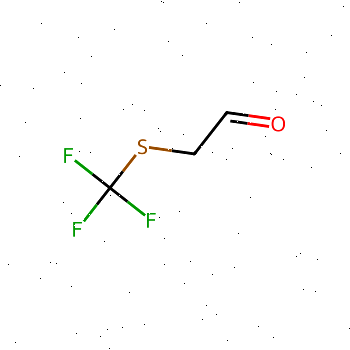 O=CCSC(F)(F)F